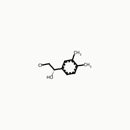 Cc1ccc([C@H](O)CCl)cc1C